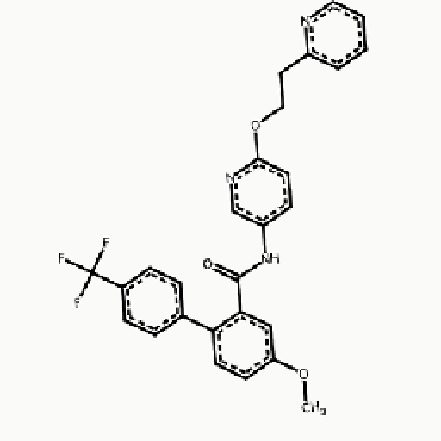 COc1ccc(-c2ccc(C(F)(F)F)cc2)c(C(=O)Nc2ccc(OCCc3ccccn3)nc2)c1